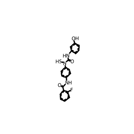 O=C(Nc1ccc(N(S)C(=O)Nc2cccc(O)c2)cc1)c1ccccc1F